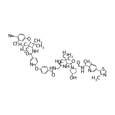 Cc1ncsc1-c1ccc([C@H](C)NC(=O)[C@@H]2C[C@@H](O)CN2C(=O)[C@@H](NC(=O)CNC(=O)c2ccc(Oc3ccc(C(=O)NC4C(C)(C)C(Oc5ccc(C#N)c(Cl)c5)C4(C)C)cn3)cc2)C(C)(C)C)nc1